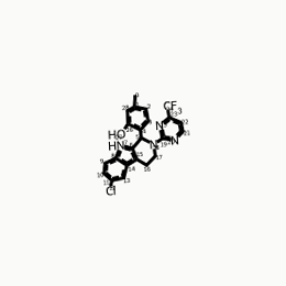 Cc1ccc(C2c3[nH]c4ccc(Cl)cc4c3CCN2c2nccc(C(F)(F)F)n2)c(O)c1